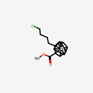 CC(C)(C)OC(=O)[C]12[CH]3[CH]4[CH]5[C]1(CCCCCl)[Fe]45321678[CH]2[CH]1[CH]6[CH]7[CH]28